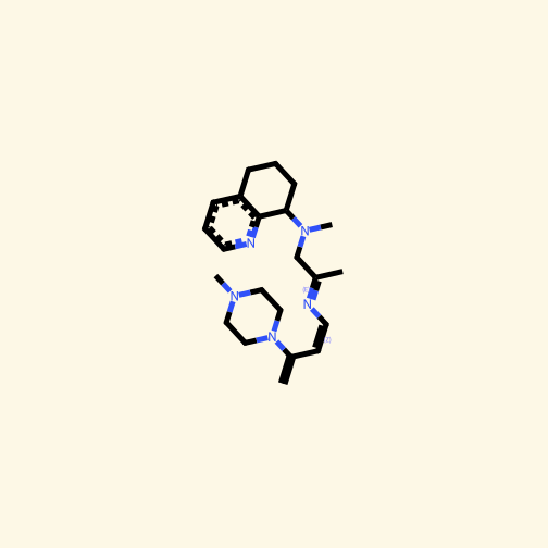 C=C(/C=C\N=C(/C)CN(C)C1CCCc2cccnc21)N1CCN(C)CC1